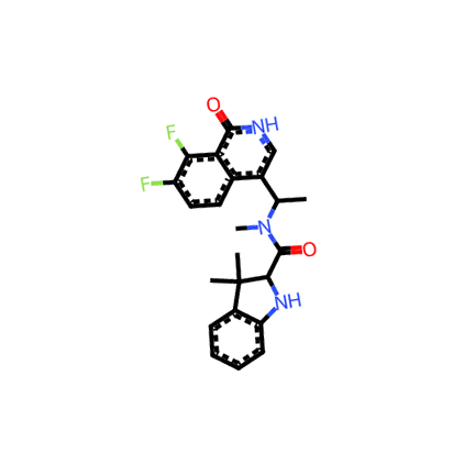 CC(c1c[nH]c(=O)c2c(F)c(F)ccc12)N(C)C(=O)C1Nc2ccccc2C1(C)C